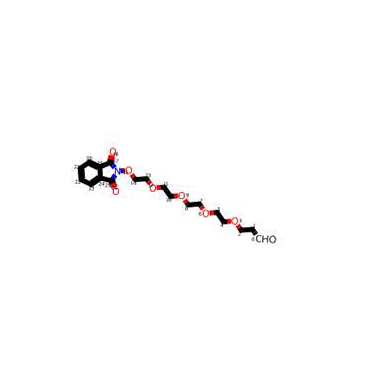 O=CCCOCCOCCOCCOCCON1C(=O)c2ccccc2C1=O